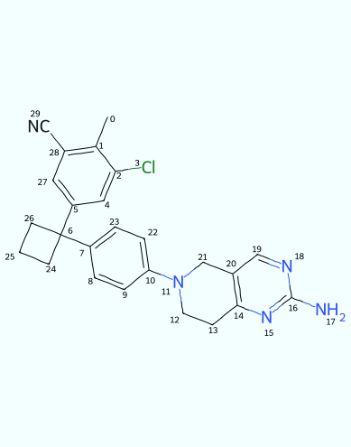 Cc1c(Cl)cc(C2(c3ccc(N4CCc5nc(N)ncc5C4)cc3)CCC2)cc1C#N